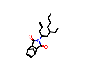 C=CCC(CC(CC)CCCC)N1C(=O)C2C3C=CC(C3)C2C1=O